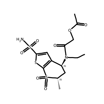 CCN(C(=O)COC(C)=O)[C@H]1C[C@H](C)S(=O)(=O)c2sc(S(N)(=O)=O)cc21